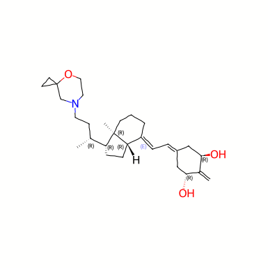 C=C1[C@H](O)CC(=C/C=C2\CCC[C@]3(C)[C@@H]([C@H](C)CCN4CCOC5(CC5)C4)CC[C@@H]23)C[C@H]1O